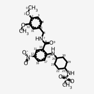 COc1ccc(CNC(=O)c2cc([N+](=O)[O-])ccc2NC2CCC(NS(C)(=O)=O)CC2)cc1OC